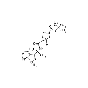 Cn1nc(C(C)(C)NC(=O)[C@H]2C3CN(C(=O)OC(C)(C)C)C[C@@H]32)c2cccnc21